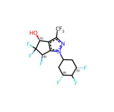 O[C@H]1c2c(C(F)(F)F)nn(C3C[C@@H](F)C(F)[C@@H](F)C3)c2[C@@H](F)C1(F)F